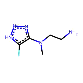 CN(CCN)c1nn[nH]c1F